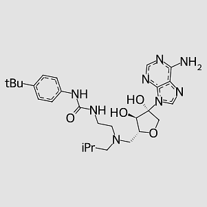 CC(C)CN(CCNC(=O)Nc1ccc(C(C)(C)C)cc1)C[C@H]1OC[C@](O)(n2cnc3c(N)ncnc32)[C@@H]1O